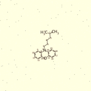 CC(C)CCCCN1c2ccccc2Oc2ccccc21